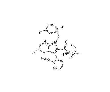 COc1ncccc1-c1c(C(=O)NS(C)(=O)=O)n(Cc2cc(F)ccc2F)c2ncc(Cl)cc12